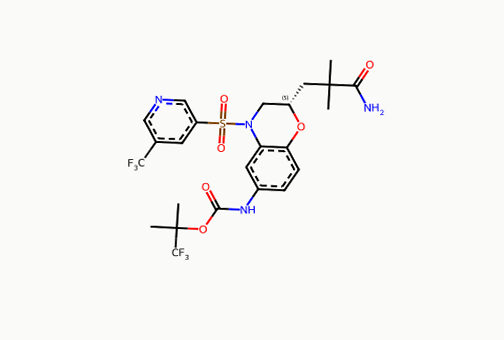 CC(C)(C[C@H]1CN(S(=O)(=O)c2cncc(C(F)(F)F)c2)c2cc(NC(=O)OC(C)(C)C(F)(F)F)ccc2O1)C(N)=O